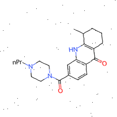 CCCN1CCN(C(=O)c2ccc3c(=O)c4c([nH]c3c2)C(C)CCC4)CC1